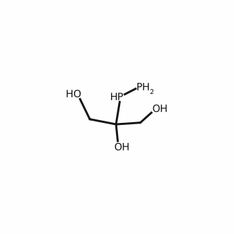 OCC(O)(CO)PP